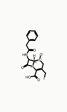 O=C(Cc1ccccc1)NC1C(=O)N2C(C(=O)O)=C(CI)C[S+]([O-])[C@@H]12